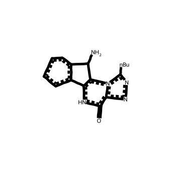 CCCCc1nnc2c(=O)[nH]c3c(n12)C(N)c1ccccc1-3